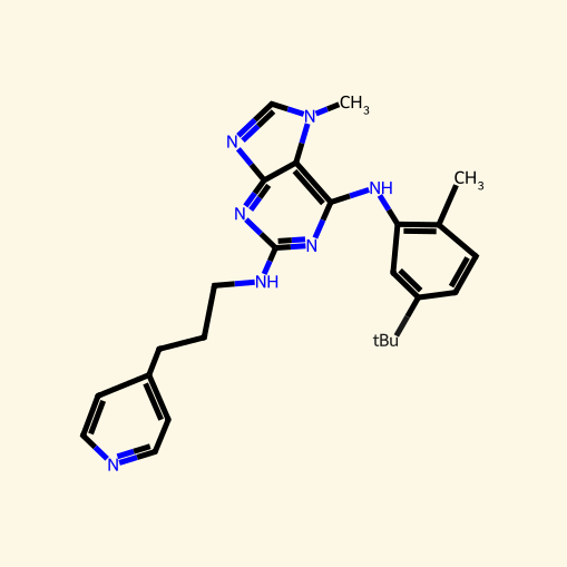 Cc1ccc(C(C)(C)C)cc1Nc1nc(NCCCc2ccncc2)nc2ncn(C)c12